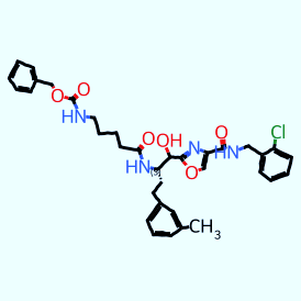 Cc1cccc(CC[C@H](NC(=O)CCCCNC(=O)OCc2ccccc2)C(O)c2nc(C(=O)NCc3ccccc3Cl)co2)c1